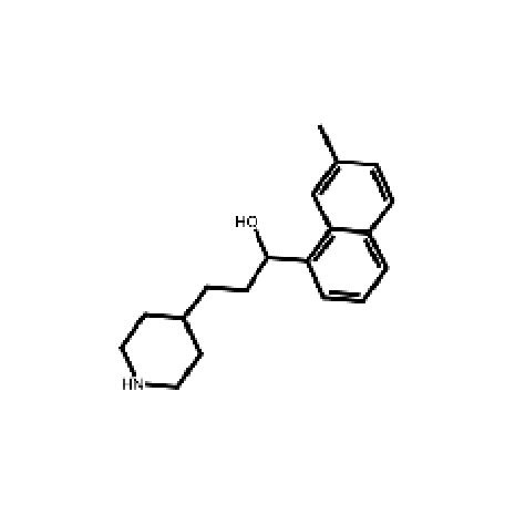 Cc1ccc2cccc(C(O)CCC3CCNCC3)c2c1